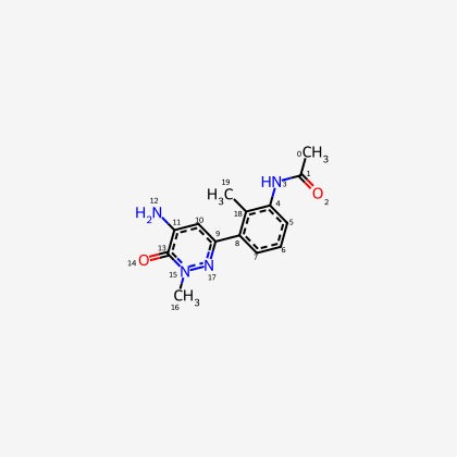 CC(=O)Nc1cccc(-c2cc(N)c(=O)n(C)n2)c1C